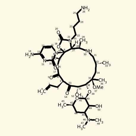 C=CC[C@H]1C(=O)O[C@@H](CC)[C@]2(n3ccc(N)nc3=O)OC(=O)N(CCCCN)[C@@H]2[C@@H](C)NC[C@H](C)C[C@@](C)(OC)[C@H](O[C@@H]2O[C@H](C)CC(N(C)C)C2O)[C@H](C)C1=O